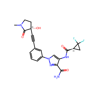 CN1CC[C@@](O)(C#Cc2cccc(-n3cc(NC(=O)[C@@H]4CC4(F)F)c(C(N)=O)n3)c2)C1=O